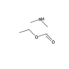 CCO[C]=O.CNC